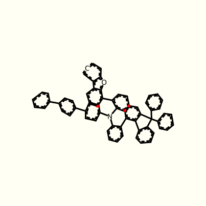 c1ccc(-c2ccc(-c3ccc(N(c4ccccc4-c4cccc5c4-c4ccccc4C5(c4ccccc4)c4ccccc4)c4ccccc4-c4cccc5c4oc4ccccc45)cc3)cc2)cc1